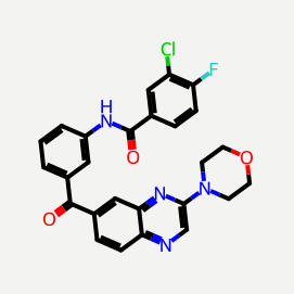 O=C(Nc1cccc(C(=O)c2ccc3ncc(N4CCOCC4)nc3c2)c1)c1ccc(F)c(Cl)c1